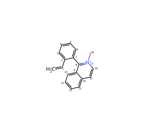 C=Cc1ccccc1-c1c2ccccc2cc[n+]1I